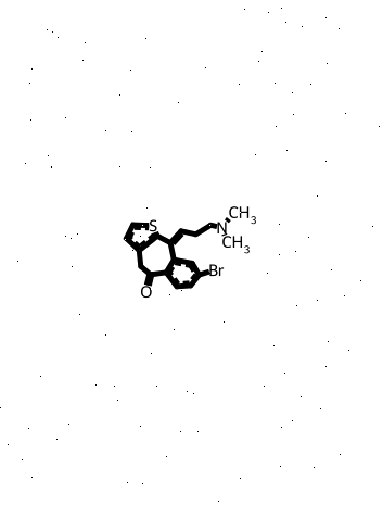 CN(C)CC/C=C1\c2cc(Br)ccc2C(=O)Cc2ccsc21